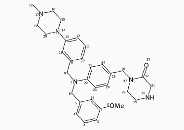 COc1cccc(CN(Cc2cccc(N3CCN(C)CC3)c2)c2ccc(CN3CCNCC3=O)cc2)c1